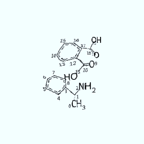 C[C@@H](N)c1ccccc1.O=C(O)c1ccccc1C(=O)O